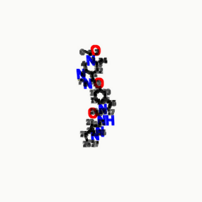 CC(=O)N1Cc2ncnc(Oc3ccc4c(ccn4C(=O)Nc4cc5n(n4)CCC5)c3)c2C[C@@H]1C